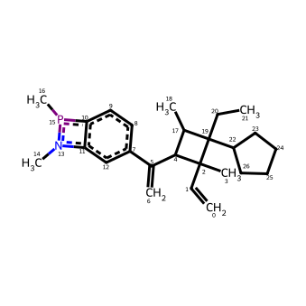 C=CC1(C)C(C(=C)c2ccc3c(c2)n(C)p3C)C(C)C1(CC)C1CCCC1